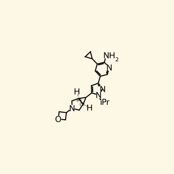 CC(C)n1nc(-c2cnc(N)c(C3CC3)c2)cc1C1[C@H]2CN(C3COC3)C[C@@H]12